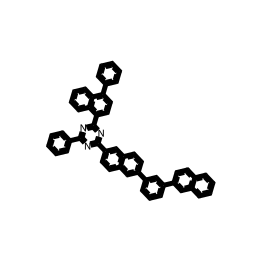 c1ccc(-c2nc(-c3ccc4cc(-c5cccc(-c6ccc7ccccc7c6)c5)ccc4c3)nc(-c3ccc(-c4ccccc4)c4ccccc34)n2)cc1